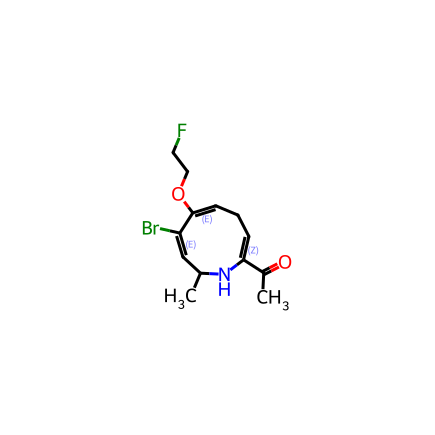 CC(=O)/C1=C/C/C=C(OCCF)\C(Br)=C/C(C)N1